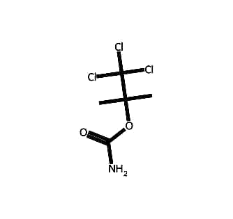 CC(C)(OC(N)=O)C(Cl)(Cl)Cl